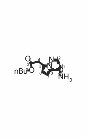 CCCCOC(=O)Cc1ccc2c(N)ncnn12